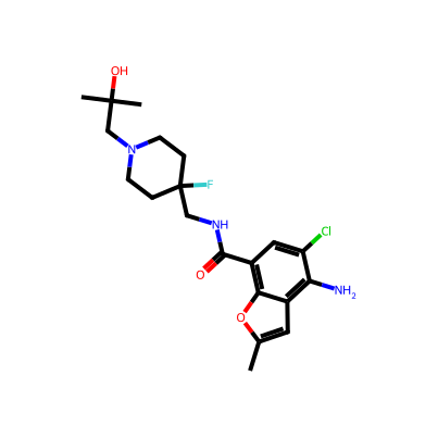 Cc1cc2c(N)c(Cl)cc(C(=O)NCC3(F)CCN(CC(C)(C)O)CC3)c2o1